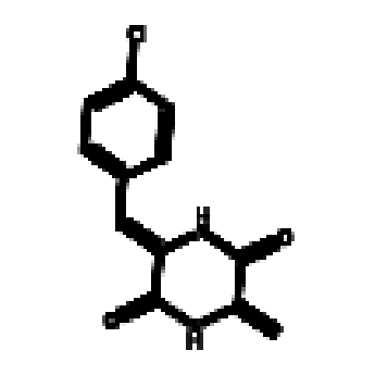 C=c1[nH]c(=O)c(=Cc2ccc(Cl)cc2)[nH]c1=O